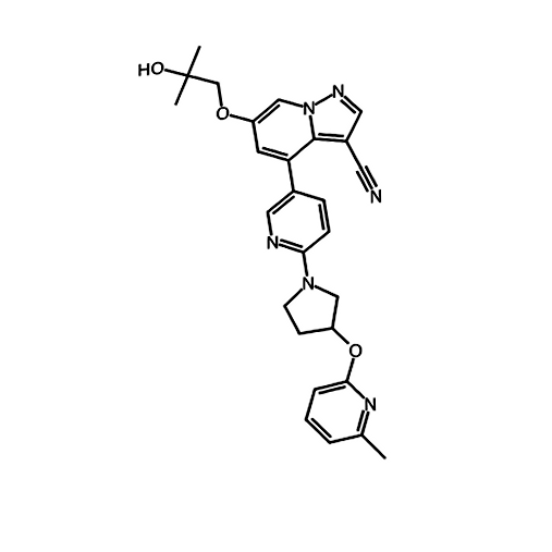 Cc1cccc(OC2CCN(c3ccc(-c4cc(OCC(C)(C)O)cn5ncc(C#N)c45)cn3)C2)n1